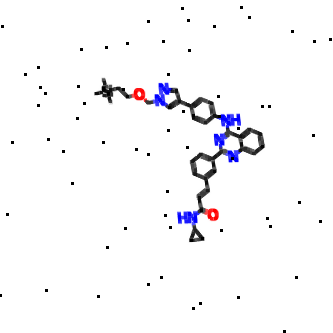 C[Si](C)(C)CCOCn1cc(-c2ccc(Nc3nc(-c4cccc(/C=C/C(=O)NC5CC5)c4)nc4ccccc34)cc2)cn1